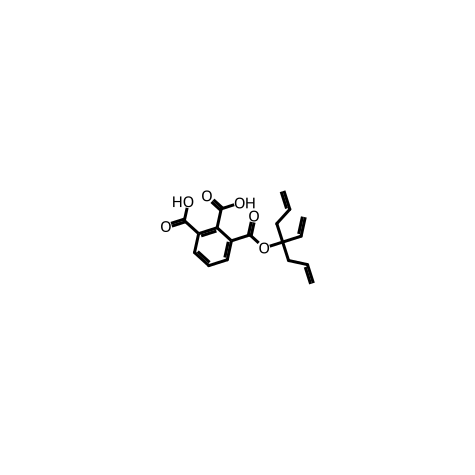 C=CCC(C=C)(CC=C)OC(=O)c1cccc(C(=O)O)c1C(=O)O